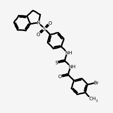 Cc1ccc(C(=O)NC(=S)Nc2ccc(S(=O)(=O)N3CCc4ccccc43)cc2)cc1Br